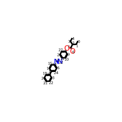 CCC(CC)C(=O)Oc1ccc(/N=N/c2ccc(-c3ccccc3)cc2)cc1